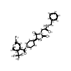 O=C(CN1C(=O)SC(=C2CCN(C(=O)c3cc(F)ccc3C(F)(F)F)CC2)C1=O)NCc1ccccc1